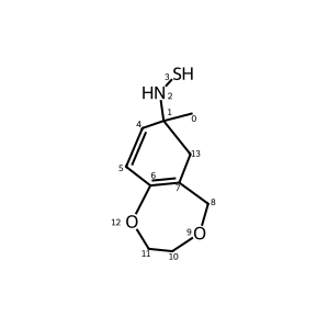 CC1(NS)C=CC2=C(COCCO2)C1